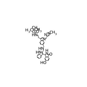 Cn1cnc(Cn2cc(CCNC(=O)OC(C)(C)C)c3ccc(CNCc4[nH]c5ccccc5c4C4NC(=O)c5ccc(O)cc54)cc32)c1